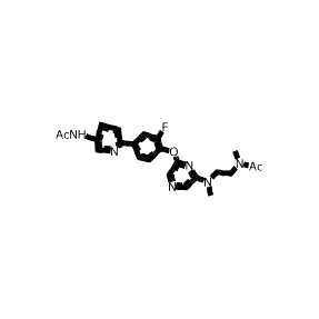 CC(=O)Nc1ccc(-c2ccc(Oc3cncc(N(C)CCN(C)C(C)=O)n3)c(F)c2)nc1